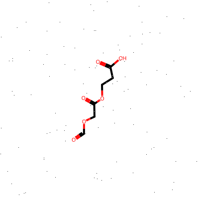 O=[C]OCC(=O)OCCC(=O)O